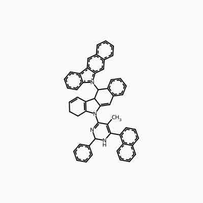 CC1=C(c2cccc3ccccc23)NC(c2ccccc2)N=C1N1C2=Cc3ccccc3C(n3c4ccccc4c4cc5ccccc5cc43)C2C2=C1CCC=C2